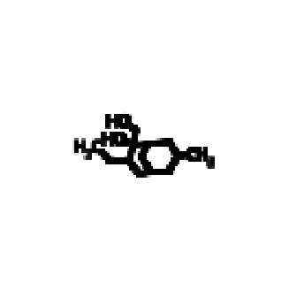 CCC1CC2CC(C)CC(C2)C1(O)CO